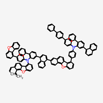 C=Cc1c(/C=C\C)ccc2c1oc1cccc(N(c3ccc(-c4cccc5oc6ccccc6c45)cc3)c3cc(-c4ccc(-c5ccc6c(ccc7c6oc6cccc(-c8ccc(N(c9ccc(-c%10ccc(-c%11ccccc%11)cc%10)cc9)c9cc(-c%10cccc%11ccccc%10%11)ccc9-c9ccccc9)cc8)c67)c5)c5ccccc45)ccc3-c3ccccc3)c12